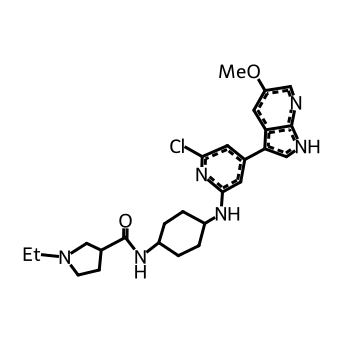 CCN1CCC(C(=O)NC2CCC(Nc3cc(-c4c[nH]c5ncc(OC)cc45)cc(Cl)n3)CC2)C1